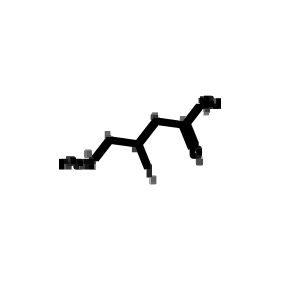 CCCCCCC(I)CC(=O)C(C)(C)C